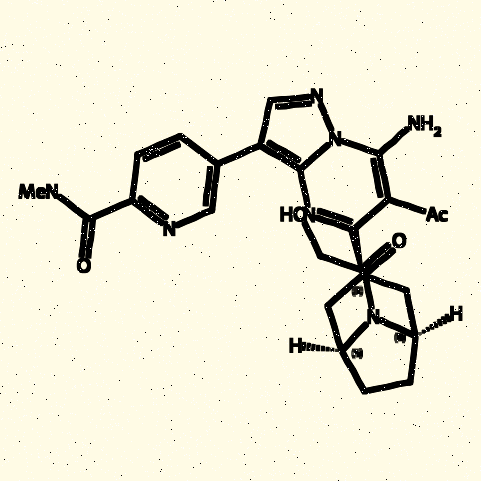 CNC(=O)c1ccc(-c2cnn3c(N)c(C(C)=O)c([C@H]4C[C@H]5CC[C@@H](C4)N5C(=O)CO)nc23)cn1